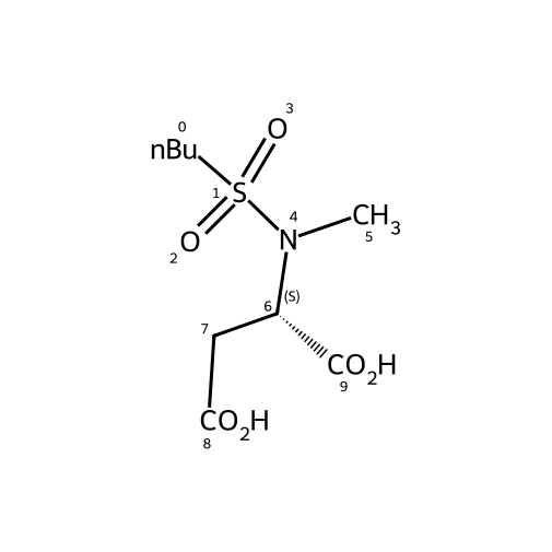 CCCCS(=O)(=O)N(C)[C@@H](CC(=O)O)C(=O)O